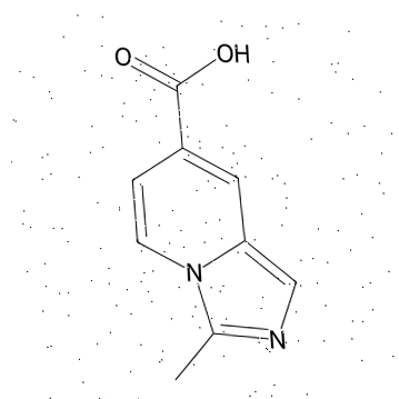 Cc1ncc2cc(C(=O)O)ccn12